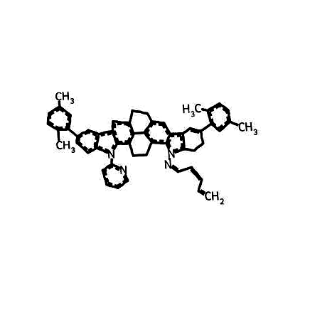 C=C/C=C\C=N/n1c2c(c3cc4c5c(c31)CCc1c-5c(cc3c5cc(-c6cc(C)ccc6C)ccc5n(-c5ccccn5)c13)CC4)C=C(c1cc(C)ccc1C)CC2